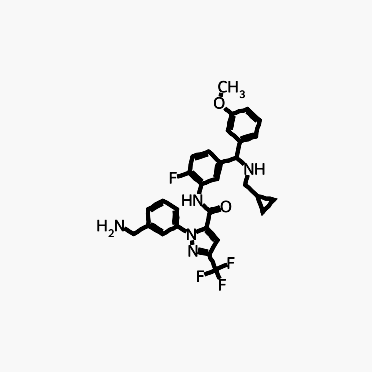 COc1cccc(C(NCC2CC2)c2ccc(F)c(NC(=O)c3cc(C(F)(F)F)nn3-c3cccc(CN)c3)c2)c1